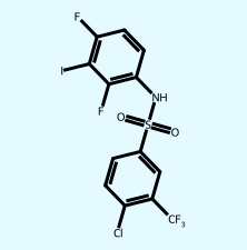 O=S(=O)(Nc1ccc(F)c(I)c1F)c1ccc(Cl)c(C(F)(F)F)c1